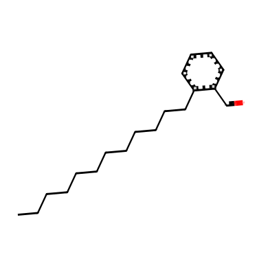 CCCCCCCCCCCCc1ccccc1[C]=O